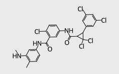 CNc1cc(NC(=O)c2cc(NC(=O)C3C(c4cc(Cl)cc(Cl)c4)C3(Cl)Cl)ccc2Cl)ccc1C